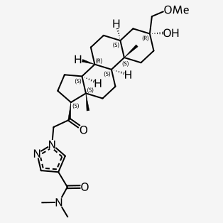 COC[C@@]1(O)CC[C@@]2(C)[C@@H](CC[C@@H]3[C@@H]2CC[C@]2(C)[C@@H](C(=O)Cn4cc(C(=O)N(C)C)cn4)CC[C@@H]32)C1